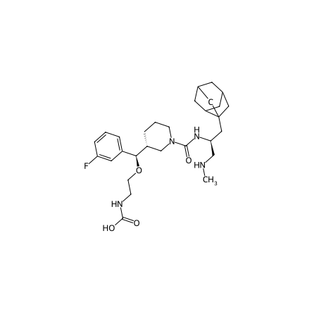 CNC[C@H](CC12CC3CC(CC1C3)C2)NC(=O)N1CCC[C@@H]([C@@H](OCCNC(=O)O)c2cccc(F)c2)C1